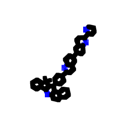 CC1(C)c2ccccc2-c2nc3ccc4ccccc4c3c(-c3ccc(-c4ccc5cc(-c6ccc7nc(-c8ccccn8)ccc7c6)ccc5n4)cc3)c21